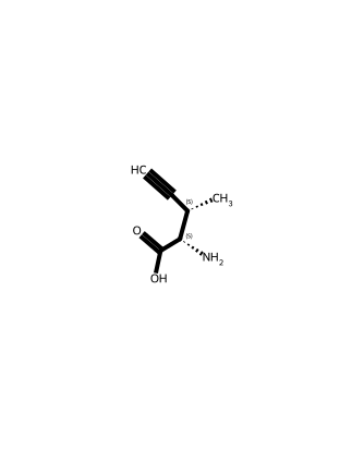 C#C[C@H](C)[C@H](N)C(=O)O